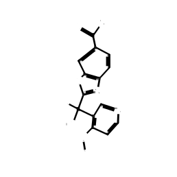 CCCC(O)(c1nc2ccc(C(N)=O)cc2s1)c1cnccc1OCC